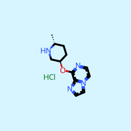 C[C@@H]1CC[C@@H](Oc2nccn3ccnc23)CN1.Cl